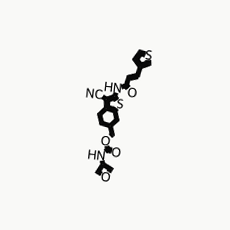 N#Cc1c(NC(=O)C=Cc2ccsc2)sc2c1CCC(COC(=O)NC1COC1)C2